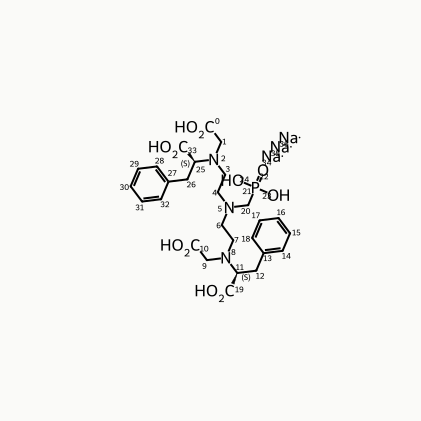 O=C(O)CN(CCN(CCN(CC(=O)O)[C@@H](Cc1ccccc1)C(=O)O)CP(=O)(O)O)[C@@H](Cc1ccccc1)C(=O)O.[Na].[Na].[Na]